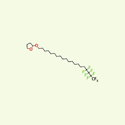 FC(F)(F)C(F)(F)C(F)(F)C(F)(F)CCCCCCCCCCCCCCCCOC1CCCO1